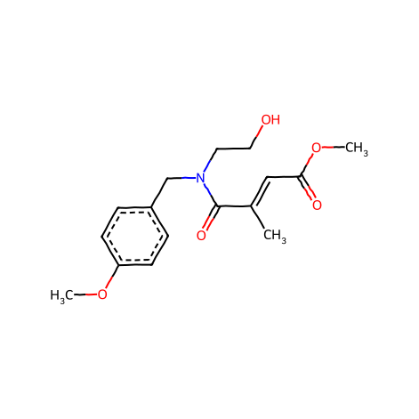 COC(=O)C=C(C)C(=O)N(CCO)Cc1ccc(OC)cc1